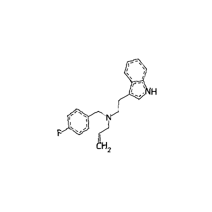 C=CCN(CCc1c[nH]c2ccccc12)Cc1ccc(F)cc1